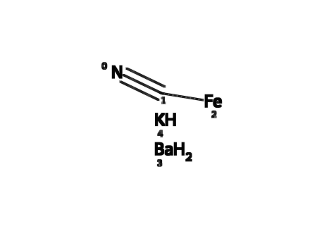 N#[C][Fe].[BaH2].[KH]